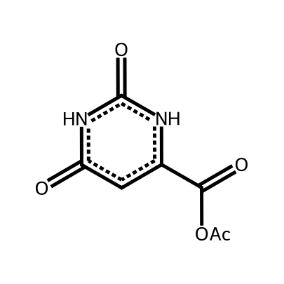 CC(=O)OC(=O)c1cc(=O)[nH]c(=O)[nH]1